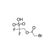 O=C(CBr)OCC(F)(F)S(=O)(=O)O